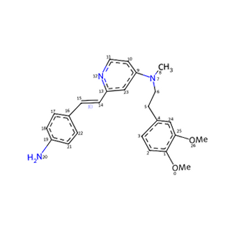 COc1ccc(CCN(C)c2ccnc(/C=C/c3ccc(N)cc3)c2)cc1OC